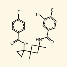 CC1(NC(=O)c2ccc(Cl)c(Cl)c2)CC(C)(C2(NC(=O)c3ccc(F)cc3)CC2)C1